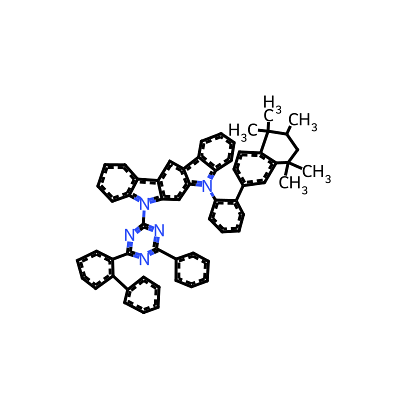 CC1CC(C)(C)c2cc(-c3ccccc3-n3c4ccccc4c4cc5c6ccccc6n(-c6nc(-c7ccccc7)nc(-c7ccccc7-c7ccccc7)n6)c5cc43)ccc2C1(C)C